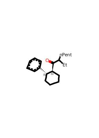 CCCCCC(CC)C(=O)[C@H]1CCCC[C@@H]1c1ccccc1